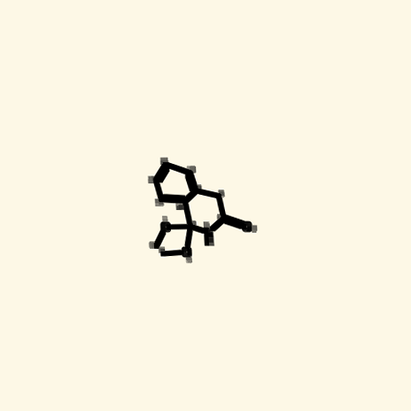 COC1(OC)NC(=O)Cc2ccccc21